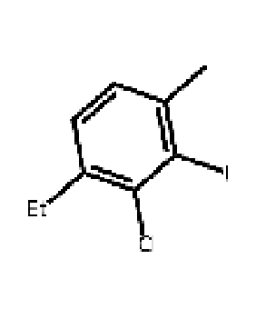 CCc1ccc(C)c(I)c1Cl